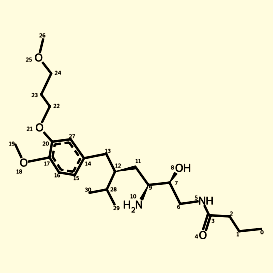 CCCC(=O)NC[C@H](O)[C@@H](N)C[C@H](Cc1ccc(OC)c(OCCCOC)c1)C(C)C